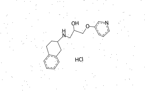 Cl.OC(CNC1CCc2ccccc2C1)COc1cccnc1